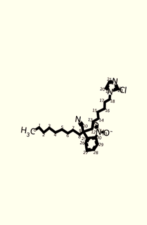 CCCCCCCCCC(C#N)(CCCCCCCn1ccnc1Cl)c1ccccc1[N+](=O)[O-]